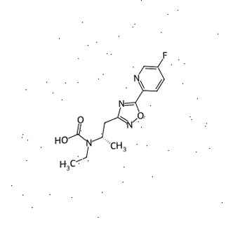 CCN(C(=O)O)[C@@H](C)Cc1noc(-c2ccc(F)cn2)n1